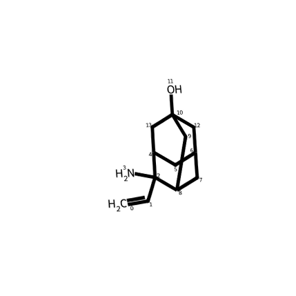 C=CC1(N)C2CC3CC1CC(O)(C3)C2